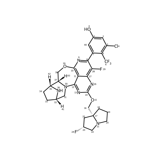 Oc1cc(Cl)c(C(F)(F)F)c(-c2nc3c4c(nc(OC[C@]56CCCN5C[C@H](F)C6)nc4c2F)N2C[C@@H]4CC[C@@H](N4)[C@@H]2CO3)c1